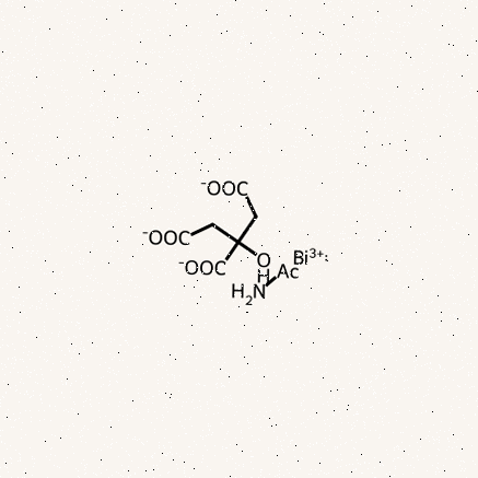 CC(N)=O.O=C([O-])CC(O)(CC(=O)[O-])C(=O)[O-].[Bi+3]